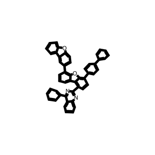 c1ccc(-c2ccc(-c3ccc(-c4nc(-c5ccccc5)c5ccccc5n4)c4c3oc3c(-c5ccc6oc7ccccc7c6c5)cccc34)cc2)cc1